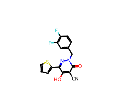 N#Cc1c(O)c(-c2cccs2)nn(Cc2ccc(F)c(F)c2)c1=O